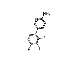 Nc1ccc(-c2ccc(F)c(F)c2F)cn1